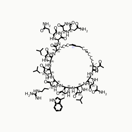 CC(=O)N[C@]1(C)CCCCCC/C=C/CCC[C@@](C)(C(=O)NC(N[C@@H](C=O)CCC(N)=O)C(=O)N[C@@H](N[C@@H](C=O)CC(N)=O)C(N)=O)NC(=O)[C@H](N[C@@H](C=O)CC(C)C)NC(=O)[C@H](N[C@@H](C=O)CC(C)C)NC(=O)[C@H](N[C@@H](C=O)CCCNC(=N)N)NC(=O)[C@H](N[C@@H](C=O)Cc2c[nH]c3ccccc23)NC(=O)[C@H](N[C@@H](C=O)CC(C)C)NC(=O)[C@H](N[C@@H](C=O)CC(N)=O)NC1=O